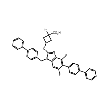 CCC1(C(=O)O)CC(Oc2nc3c(F)c(-c4ccc(-c5ccccc5)cc4)c(F)cc3n2Cc2ccc(-c3ccccc3)cc2)C1